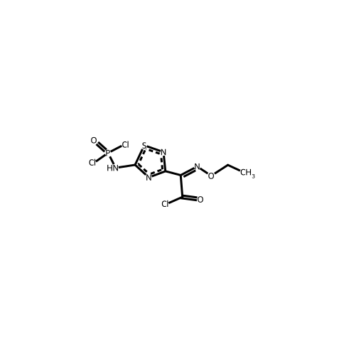 CCON=C(C(=O)Cl)c1nsc(NP(=O)(Cl)Cl)n1